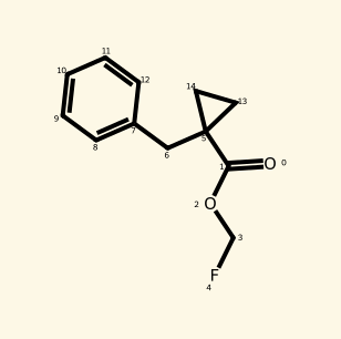 O=C(OCF)C1(Cc2ccccc2)CC1